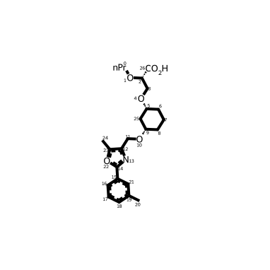 CCCO[C@@H](CO[C@@H]1CCC[C@H](OCc2nc(-c3cccc(C)c3)oc2C)C1)C(=O)O